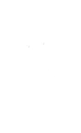 CCOC(=C1CC1)/C(C=N)=C/N